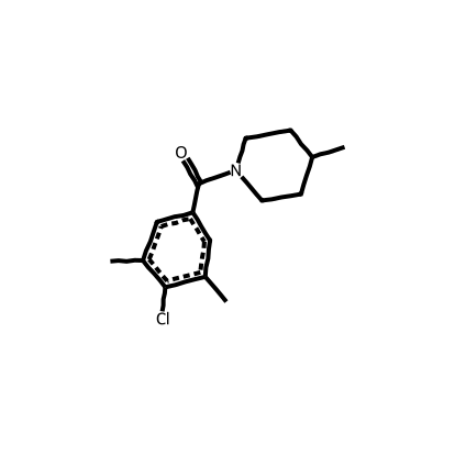 Cc1cc(C(=O)N2CCC(C)CC2)cc(C)c1Cl